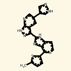 Cc1ccc(-c2nccc3[nH]c(-c4n[nH]c5ncc(-c6cn[nH]c6)cc45)nc23)s1